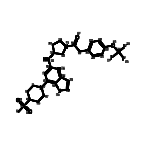 CS(=O)(=O)C1CCN(c2cc(N[C@H]3CCN(C(=O)Cc4ccc(OC(F)(F)F)cc4)C3)nc3ccsc23)CC1